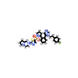 O=S(=O)(c1cnc(N2CCN3CCCC3C2)s1)N1CCCC1c1ccccc1-c1cncn1CCc1ccc(F)cc1